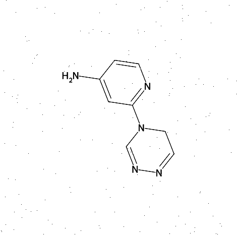 Nc1ccnc(N2C=NN=CC2)c1